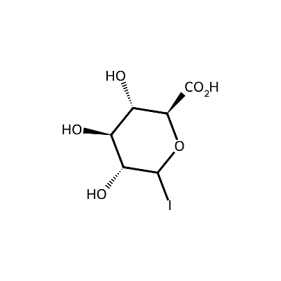 O=C(O)[C@H]1OC(I)[C@H](O)[C@@H](O)[C@@H]1O